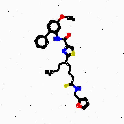 CCCC(CCCC(=S)NCc1ccco1)c1nc(C(=O)Nc2cc(OC)ccc2-c2ccccc2)cs1